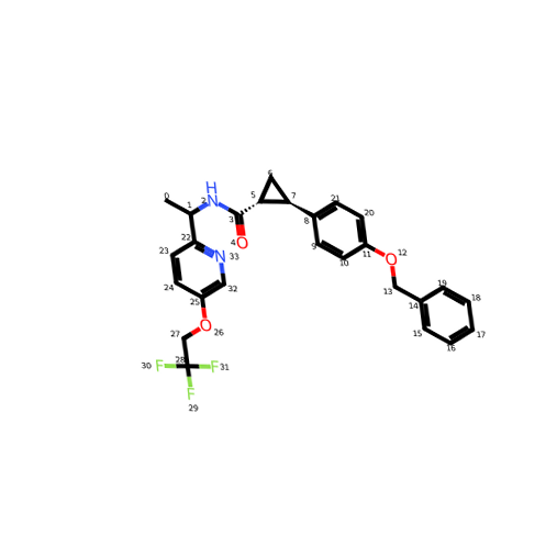 CC(NC(=O)[C@@H]1C[C@H]1c1ccc(OCc2ccccc2)cc1)c1ccc(OCC(F)(F)F)cn1